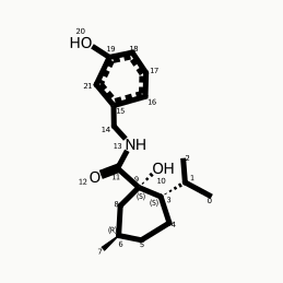 CC(C)[C@@H]1CC[C@@H](C)C[C@@]1(O)C(=O)NCc1cccc(O)c1